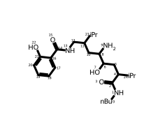 CCCCNC(=O)C(CC(O)C(N)CC(CNC(=O)c1ccccc1O)C(C)C)C(C)C